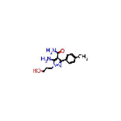 Cc1ccc(-c2nn(CCCO)c(N)c2C(N)=O)cc1